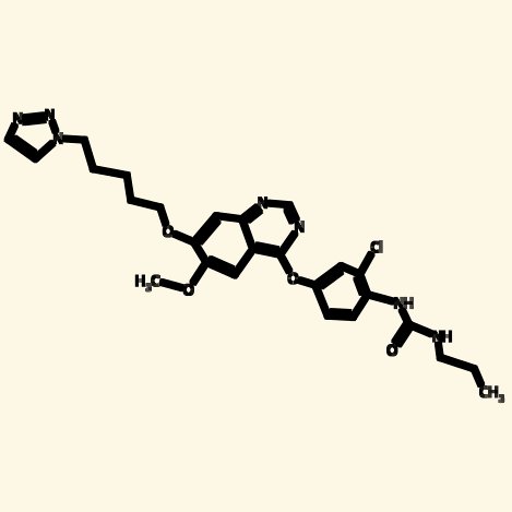 CCCNC(=O)Nc1ccc(Oc2ncnc3cc(OCCCCCn4ccnn4)c(OC)cc23)cc1Cl